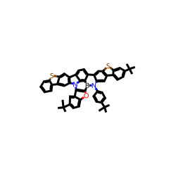 CC(C)(C)c1ccc(N2B3c4oc5ccc(C(C)(C)C)cc5c4-n4c5cc6c(cc5c5ccc(c3c54)-c3cc4sc5cc(C(C)(C)C)ccc5c4cc32)sc2ccccc26)cc1